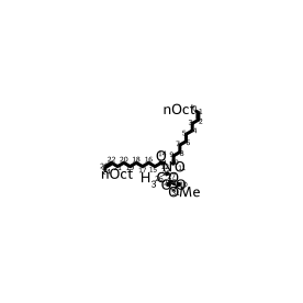 CCCCCCCC/C=C\CCCCCCCC(=O)N(C(=O)CCCCCCC/C=C\CCCCCCCC)C(C)OS(=O)(=O)OC